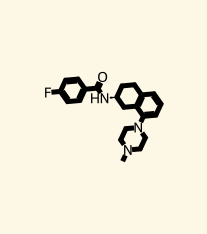 CN1CCN(c2cccc3c2C[C@H](NC(=O)c2ccc(F)cc2)CC3)CC1